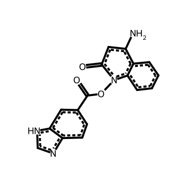 Nc1cc(=O)n(OC(=O)c2ccc3nc[nH]c3c2)c2ccccc12